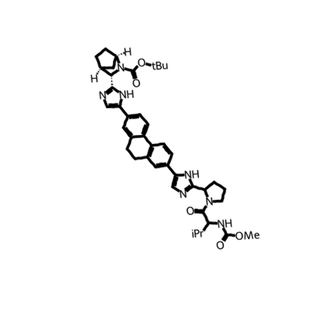 COC(=O)NC(C(=O)N1CCCC1c1ncc(-c2ccc3c(c2)CCc2cc(-c4cnc([C@@H]5[C@H]6CC[C@H](C6)N5C(=O)OC(C)(C)C)[nH]4)ccc2-3)[nH]1)C(C)C